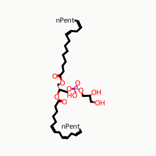 CCCCC/C=C\C/C=C\C/C=C\CCCCC(=O)O[C@H](COC(=O)CCCCCCC/C=C\C/C=C\CCCCC)COP(=O)(O)OC[C@@H](O)CO